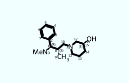 CN[C@@H](c1ccccc1)[C@@H](C)CN1CCC[C@H](O)C1